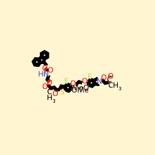 COc1cc2c(c(F)c1OCCCOc1c(OC)cc3sc(C(=O)C[C@H](C)C(=O)OCCNC(=O)OCC4c5ccccc5-c5ccccc54)cc3c1F)CN(C(=O)CC(C)=C=O)C2